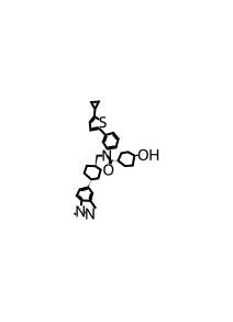 Cn1ncc2cc([C@H]3CC[C@H](CN(c4cccc(-c5ccc(C6CC6)s5)c4)C(=O)[C@H]4CC[C@H](O)CC4)CC3)ccc21